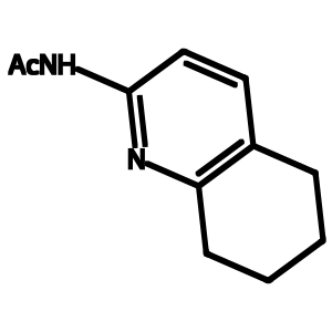 CC(=O)Nc1ccc2c(n1)CCCC2